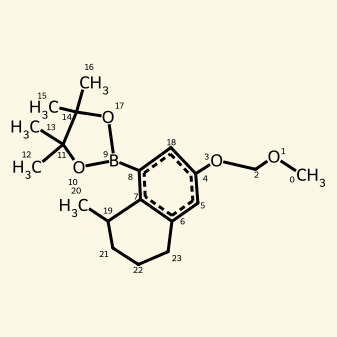 COCOc1cc2c(c(B3OC(C)(C)C(C)(C)O3)c1)C(C)CCC2